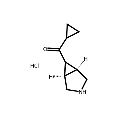 Cl.O=C(C1CC1)C1[C@H]2CNC[C@@H]12